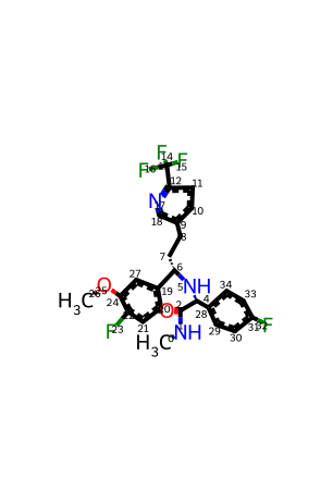 CNC(=O)[C@H](N[C@@H](CCc1ccc(C(F)(F)F)nc1)c1ccc(F)c(OC)c1)c1ccc(F)cc1